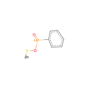 CC(C)SO[PH](=O)c1ccccc1